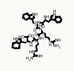 N=C(N)NCCC[C@H](NC(=O)[C@H](CCCNC(=N)N)NC(=O)[C@H](Cc1c[nH]c2ccccc12)NC(=O)[C@@H](N)Cc1c[nH]c2ccccc12)C(=O)N[C@@H](Cc1c[nH]c2ccccc12)C(=O)O